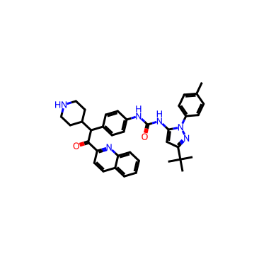 Cc1ccc(-n2nc(C(C)(C)C)cc2NC(=O)Nc2ccc(C(C(=O)c3ccc4ccccc4n3)C3CCNCC3)cc2)cc1